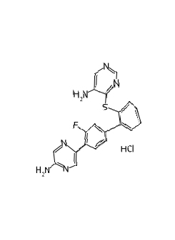 Cl.Nc1cnc(-c2ccc(-c3ccccc3Sc3ncncc3N)cc2F)cn1